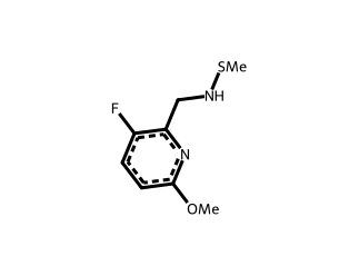 COc1ccc(F)c(CNSC)n1